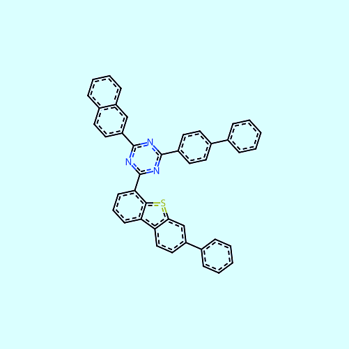 c1ccc(-c2ccc(-c3nc(-c4ccc5ccccc5c4)nc(-c4cccc5c4sc4cc(-c6ccccc6)ccc45)n3)cc2)cc1